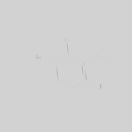 C=Cc1c(F)ccc(Br)c1Cl